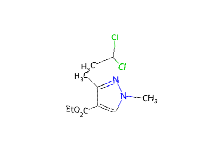 CC(Cl)Cl.CCOC(=O)c1cn(C)nc1C